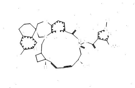 COc1nn(C)cc1C(=O)NS1(=O)=NC(=O)c2ccc3c(c2)N(C[C@@H]2CC[C@H]2/C=C/C=C\[C@H](C)C1)C[C@@]1(CCCc2cc(Cl)ccc21)CO3